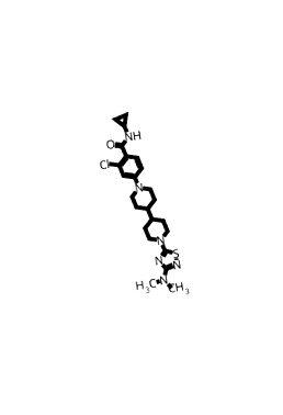 CN(C)c1nsc(N2CCC(C3CCN(c4ccc(C(=O)NC5CC5)c(Cl)c4)CC3)CC2)n1